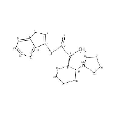 CN(C(=O)CC1=CCc2ccccc21)[C@@H]1CCCC[C@H]1N1CCCC1